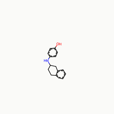 Oc1ccc(NC2CCc3ccccc3C2)cc1